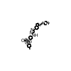 Cc1ccc(S(=O)(=O)N(OC=O)c2ccc(Nc3cc(-c4ccc5c(ccn5CCN5CCN(C)CC5)c4)ncn3)cc2)cc1